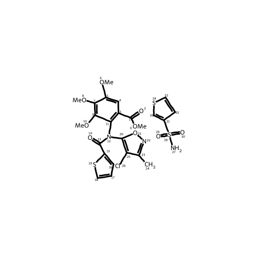 COC(=O)c1cc(OC)c(OC)c(OC)c1N(C(=O)c1cccs1)c1onc(C)c1Cl.NS(=O)(=O)c1ccsc1